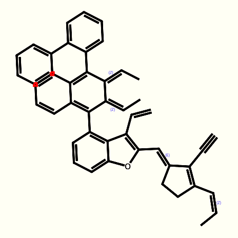 C#CC1=C(/C=C\C)CC/C1=C\c1oc2cccc(-c3c(=C/C)/c(=C\C)c(-c4ccccc4-c4ccccc4)c4ccccc34)c2c1C=C